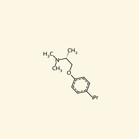 CC(C)c1ccc(OC[C@@H](C)N(C)C)cc1